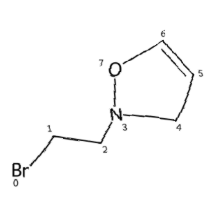 BrCCN1CC=CO1